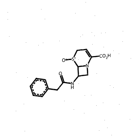 O=C(Cc1ccccc1)NC1CN2C(C(=O)O)=CC[S+]([O-])C12